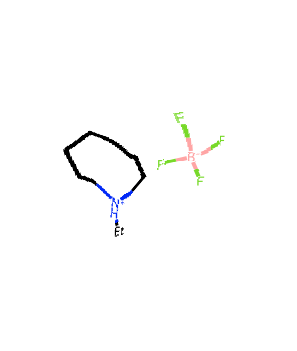 CC[NH+]1CCCCC1.F[B-](F)(F)F